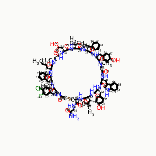 CCCC[C@H]1C(=O)N(C)CC(=O)N[C@@H](CC(=O)O)C(=O)N[C@@H](C(C)C)C(=O)N(C)[C@@H](Cc2ccccc2)C(=O)N[C@@H](Cc2ccc(O)cc2)C(=O)N(C)CC(=O)N[C@@H](Cc2c[nH]c3ccccc23)C(=O)N[C@@H](Cc2ccc(O)cc2)C(=O)N[C@@H](CC(C)C)C(=O)N[C@H](C(=O)NCC(N)=O)CSCC(=O)N[C@@H](Cc2ccc(Cl)c(F)c2)C(=O)N(C)[C@@H](Cc2ccccc2)C(=O)N1C